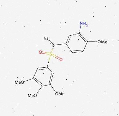 CCC(c1ccc(OC)c(N)c1)S(=O)(=O)c1cc(OC)c(OC)c(OC)c1